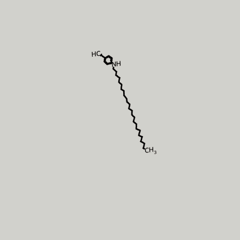 C#Cc1ccc(NCCCCCCCCCCCCCCCCCCCCCCCCCC)cc1